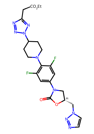 CCOC(=O)Cc1nnn(C2CCN(c3c(F)cc(N4C[C@H](Cn5ccnn5)OC4=O)cc3F)CC2)n1